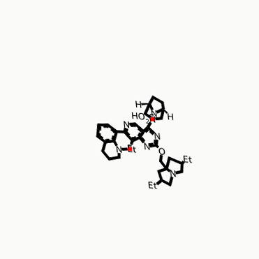 CCC1CN2CC(CC)CC2(COc2nc(N3C[C@H]4CC[C@@H](C3)N4C(=O)O)c3cnc(-c4cccc5c4N(CC)CCC5)c(F)c3n2)C1